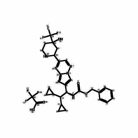 O=C(N[C@H](c1cn2ncc(C3CC(O)(C(F)(F)F)CCN3)nc2n1)C(C1CC1)C1CC1)OCc1ccccc1.O=C(O)C(F)(F)F